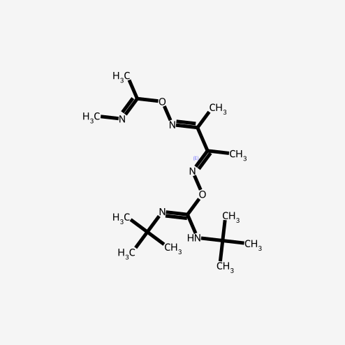 CN=C(C)ON=C(C)/C(C)=N/OC(=NC(C)(C)C)NC(C)(C)C